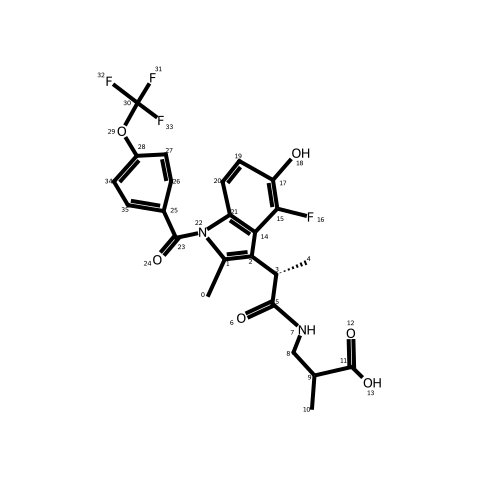 Cc1c([C@H](C)C(=O)NCC(C)C(=O)O)c2c(F)c(O)ccc2n1C(=O)c1ccc(OC(F)(F)F)cc1